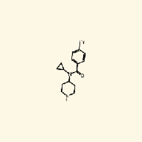 CC(C)c1ccc(C(=O)N(C2CCNCC2)C2CC2)cc1